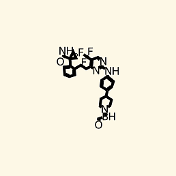 NC(=O)C1(c2ccccc2CCc2nc(Nc3ccc(C4CCN(BC=O)CC4)cc3)ncc2C(F)(F)F)CC1